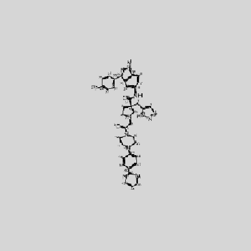 O=C(CN1CCC(Cc2cnn[nH]2)(C(=O)Nc2ccc3[nH]nc(-c4ccc(F)cc4)c3c2)C1)N1CCN(c2ccc(-c3ncccn3)cc2)CC1